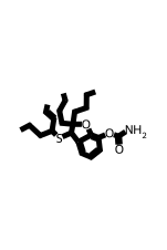 CC=CC(CCC)SC1c2cccc(OC(N)=O)c2OC1(CCCC)CCCC